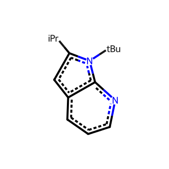 CC(C)c1cc2cccnc2n1C(C)(C)C